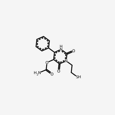 NC(=O)Oc1c(-c2ccccc2)[nH]c(=O)n(CCS)c1=O